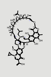 C=C(O)c1cn(C2CC2)c2c(OC)c(N3CCC(N(CC(C)C)/N=C/c4c5c(O)c6c(O)c(C)c7c(c6c4O)C(=O)[C@@](C)(O/C=C/[C@H](OC)[C@@H](C)[C@@H](OC(C)=O)[C@H](C)[C@H](O)[C@H](C)[C@@H](O)[C@@H](C)/C=C/C=C(/C)C(=O)N5)O7)C3)c(F)cc2c1=O